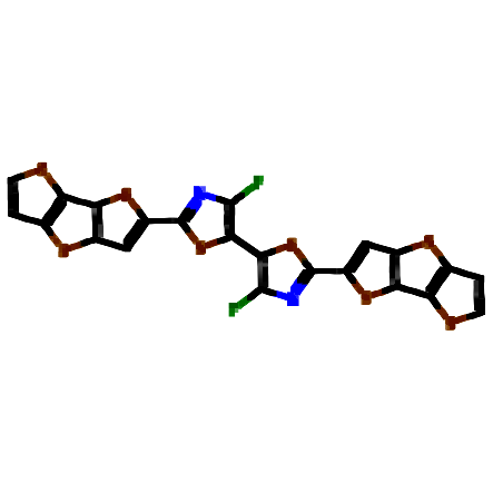 Fc1nc(-c2cc3sc4ccsc4c3s2)sc1-c1sc(-c2cc3sc4ccsc4c3s2)nc1F